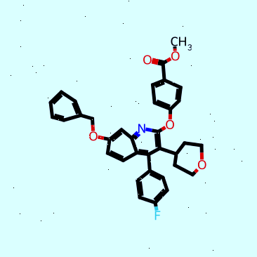 COC(=O)c1ccc(Oc2nc3cc(OCc4ccccc4)ccc3c(-c3ccc(F)cc3)c2C2CCOCC2)cc1